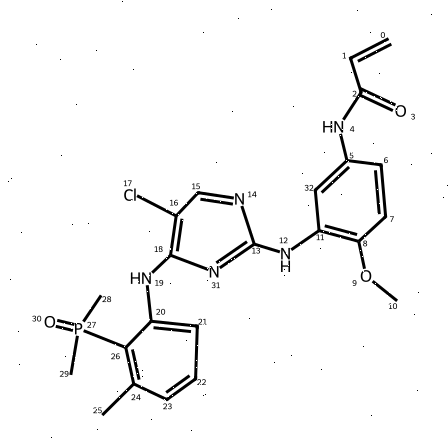 C=CC(=O)Nc1ccc(OC)c(Nc2ncc(Cl)c(Nc3cccc(C)c3P(C)(C)=O)n2)c1